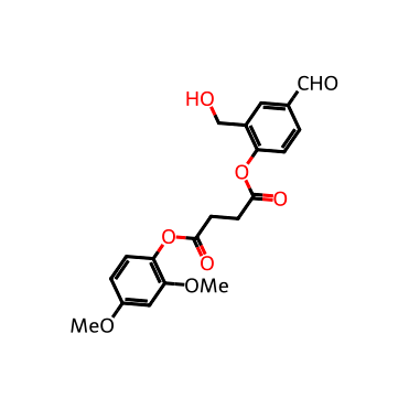 COc1ccc(OC(=O)CCC(=O)Oc2ccc(C=O)cc2CO)c(OC)c1